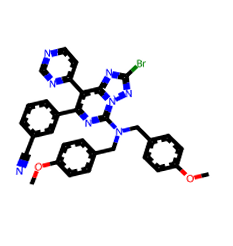 COc1ccc(CN(Cc2ccc(OC)cc2)c2nc(-c3cccc(C#N)c3)c(-c3ccncn3)c3nc(Br)nn23)cc1